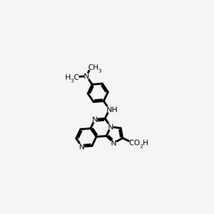 CN(C)c1ccc(Nc2nc3ccncc3c3nc(C(=O)O)cn23)cc1